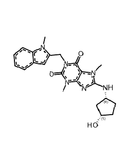 Cn1c(Cn2c(=O)c3c(nc(N[C@@H]4CC[C@H](O)C4)n3C)n(C)c2=O)cc2ccccc21